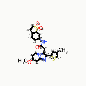 COc1ccn2c(CC(=O)Nc3ccc4c(c3)S(=O)(=O)C=C4)c(-c3cc(C)cs3)nc2c1